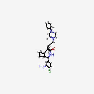 Nc1cc(C2NC(=O)C(CCN3CCN(c4ccccc4)CC3)c3ccccc32)ccc1Cl